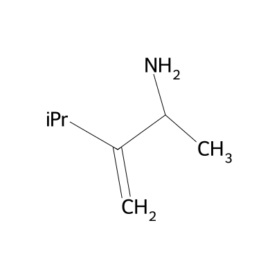 C=C(C(C)C)C(C)N